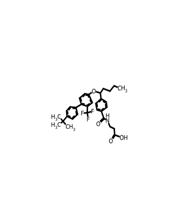 CCCCC(Oc1ccc(-c2ccc(C(C)(C)C)cc2)c(C(F)(F)F)c1)c1ccc(C(=O)NCCC(=O)O)cc1